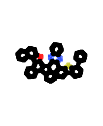 c1ccc(-c2cccc3c2sc2c(-c4nc5ccccc5nc4C4c5ccccc5-c5c4c4oc6ccc7ccccc7c6c4c4ccccc54)cccc23)cc1